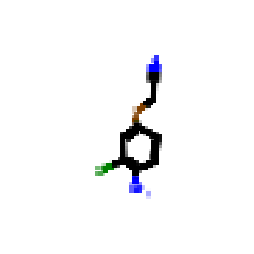 N#CCSc1ccc(N)c(Cl)c1